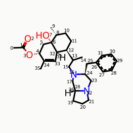 CC(=O)O[C@@H]1[CH][C@@]2(O)[C@H](C)CC[C@@H](C(C)CN3C[C@H]4CCCN4C[C@@H]3Cc3ccccc3)[C@H]2C=C1C